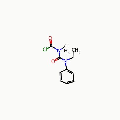 CCN(C(=O)N(C)C(=O)Cl)c1ccccc1